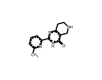 Cc1cccc(-c2nc3c(c(=O)[nH]2)CNCC3)n1